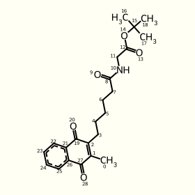 CC1=C(CCCCCC(=O)NCC(=O)OC(C)(C)C)C(=O)c2ccccc2C1=O